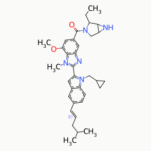 CCC1C2NC2CN1C(=O)c1cc(OC)c2c(c1)nc(-c1cc3cc(/C=C/CC(C)C)ccc3n1CC1CC1)n2C